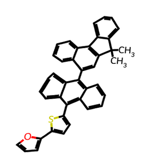 CC1(C)c2ccccc2-c2c1cc(-c1c3ccccc3c(-c3ccc(-c4ccco4)s3)c3ccccc13)c1ccccc21